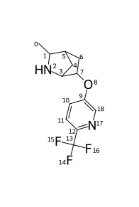 CC1NC2CC1CC2Oc1ccc(C(F)(F)F)nc1